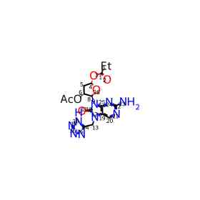 CCC(=O)O[C@H]1C[C@@H](OC(C)=O)[C@H](n2c(=O)n(Cc3nnn[nH]3)c3cnc(N)nc32)O1